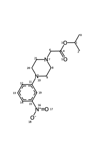 CC(C)OC(=O)CN1CCN(c2cccc([N+](=O)[O-])c2)CC1